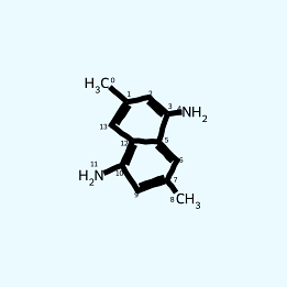 Cc1cc(N)c2cc(C)cc(N)c2c1